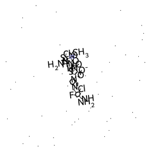 CO/N=C(\C(=O)N[C@@H]1C(=O)N2C(C(=O)[O-])=C(C[n+]3cccc4c3ccn4Cc3c(F)cc(C(=N)N)cc3Cl)CS[C@H]12)c1nc(N)sc1Cl